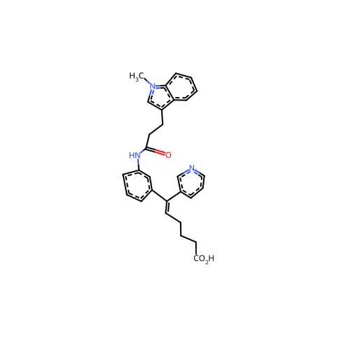 Cn1cc(CCC(=O)Nc2cccc(/C(=C/CCCC(=O)O)c3cccnc3)c2)c2ccccc21